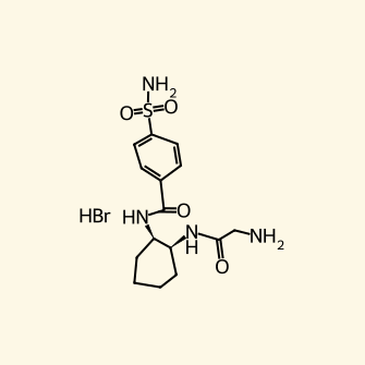 Br.NCC(=O)N[C@H]1CCCC[C@H]1NC(=O)c1ccc(S(N)(=O)=O)cc1